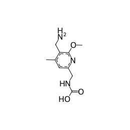 COc1nc(CNC(=O)O)cc(C)c1CN